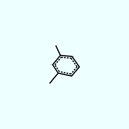 Cc1[c]ccc(C)[c]1